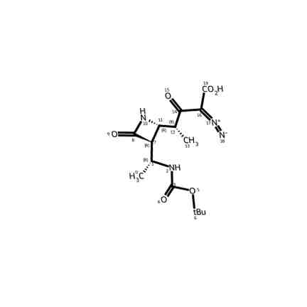 C[C@@H](NC(=O)OC(C)(C)C)[C@H]1C(=O)N[C@@H]1[C@@H](C)C(=O)C(=[N+]=[N-])C(=O)O